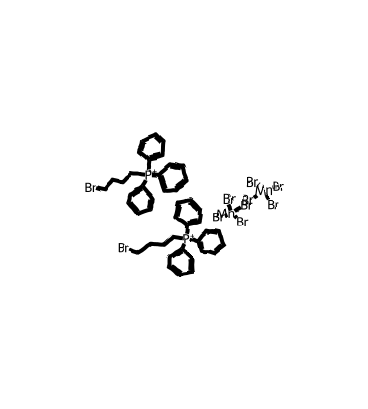 BrCCCC[P+](c1ccccc1)(c1ccccc1)c1ccccc1.BrCCCC[P+](c1ccccc1)(c1ccccc1)c1ccccc1.[Br][Mn-]([Br])([Br])[Br].[Br][Mn-]([Br])([Br])[Br]